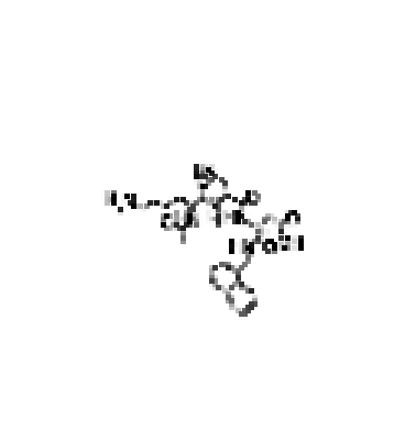 CC(=O)N[C@@H](CCCCN)C(=O)NC(CS)C(=O)N[C@@H](CC(=O)O)C(=O)NCc1cccc2ccccc12